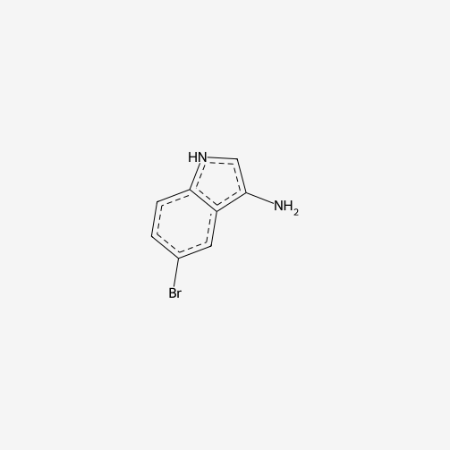 Nc1c[nH]c2ccc(Br)cc12